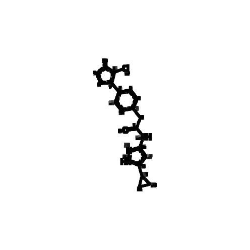 O=C(Cc1ccc(-c2ccsc2Cl)cc1)Nc1cc(C2CC2)[nH]n1